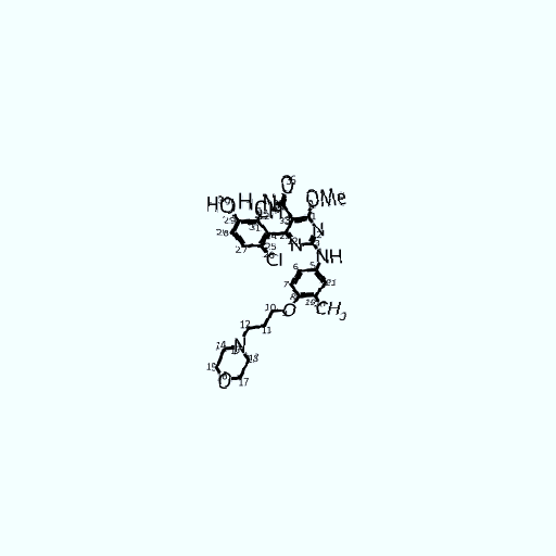 COc1nc(Nc2ccc(OCCCN3CCOCC3)c(C)c2)nc(-c2c(Cl)ccc(O)c2C)c1C(N)=O